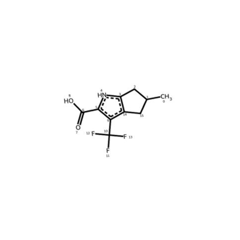 CC1Cc2[nH]c(C(=O)O)c(C(F)(F)F)c2C1